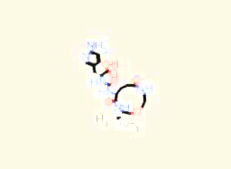 CC(C)[C@H]1COCCCNC(=O)CC[C@@H](NC(=O)N[C@@H](Cc2ccc(N)nc2)C(=O)O)C(=O)N1